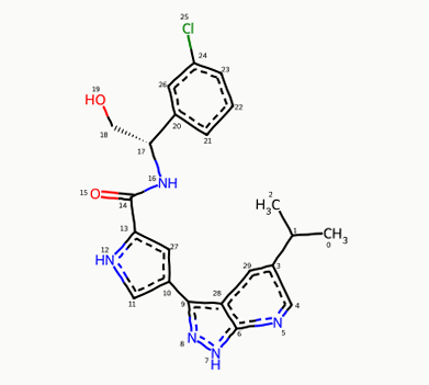 CC(C)c1cnc2[nH]nc(-c3c[nH]c(C(=O)N[C@H](CO)c4cccc(Cl)c4)c3)c2c1